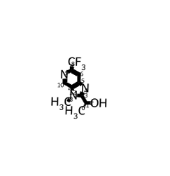 C[C@H](O)c1nc2cc(C(F)(F)F)ncc2n1C